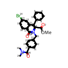 COC(=O)c1c(-c2ccccc2)c2cc(Br)ccc2c(=O)n1Cc1ccc(C(=O)N(C)C)cc1